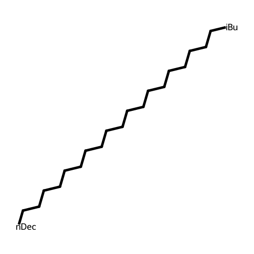 CCCCCCCCCCCCCCCCCCCCCCCCCCCCCC(C)CC